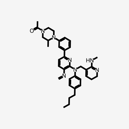 C=Nc1ccc(-c2cccc(N3CCN(C(C)=O)CC3C)c2)nc1N(CC1=CCCN=C1NC)c1ccc(CCCC)cc1